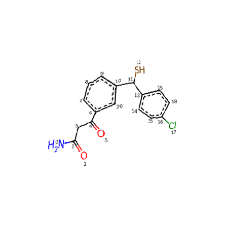 NC(=O)CC(=O)c1cccc(C(S)c2ccc(Cl)cc2)c1